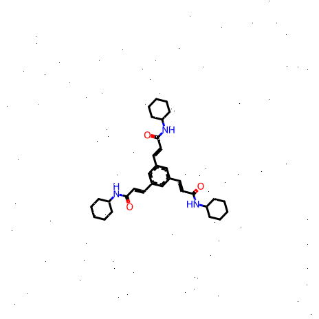 O=C(C=Cc1cc(C=CC(=O)NC2CCCCC2)cc(C=CC(=O)NC2CCCCC2)c1)NC1CCCCC1